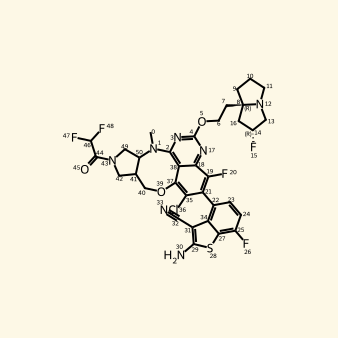 CN1c2nc(OCC[C@@]34CCCN3C[C@H](F)C4)nc3c(F)c(-c4ccc(F)c5sc(N)c(C#N)c45)c(Cl)c(c23)OCC2CN(C(=O)C(F)F)CC21